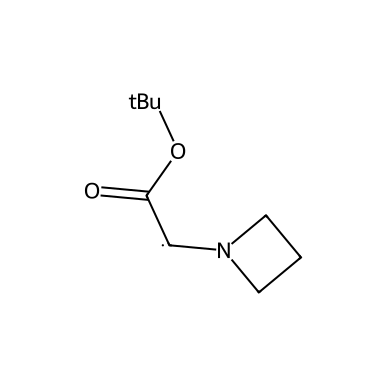 CC(C)(C)OC(=O)[CH]N1CCC1